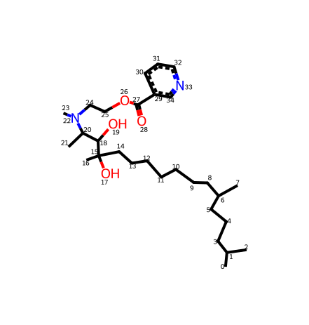 CC(C)CCCC(C)CCCCCCCC(C)(O)C(O)C(C)N(C)CCOC(=O)c1cccnc1